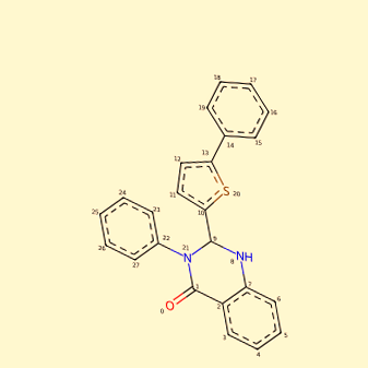 O=C1c2ccccc2NC(c2ccc(-c3ccccc3)s2)N1c1ccccc1